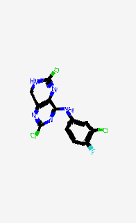 Fc1ccc(Nc2nc(Cl)nc3c2N=C(Cl)NC3)cc1Cl